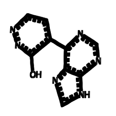 Oc1nnccc1-c1ncnc2[nH]cnc12